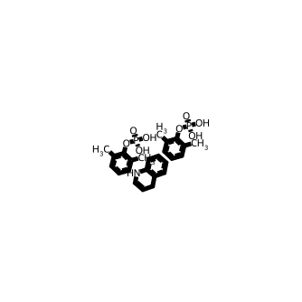 C1=CNc2ccccc2C1.Cc1cccc(C)c1OP(=O)(O)O.Cc1cccc(C)c1OP(=O)(O)O